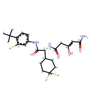 CC(C)(C)c1ccc(NC(=O)[C@H](NC(=O)C/C(O)=C/C(N)=O)C2CCC(F)(F)CC2)cc1F